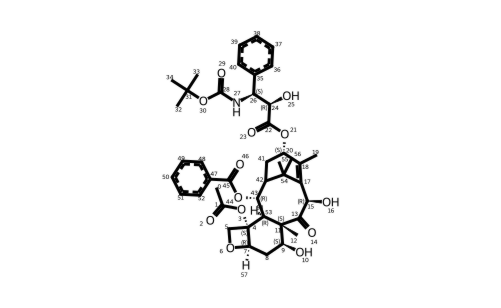 CC(=O)O[C@@]12CO[C@@H]1C[C@H](O)[C@@]1(C)C(=O)[C@H](O)C3=C(C)[C@@H](OC(=O)[C@H](O)[C@@H](NC(=O)OC(C)(C)C)c4ccccc4)CC([C@@H](OC(=O)c4ccccc4)[C@H]21)C3(C)C